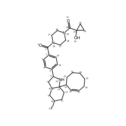 O=C(c1ccc(C2CN3CC(F)CCC3(C3/C=C\CCCCC3)N2)cc1)N1CCN(C(=O)C2(O)CC2)CC1